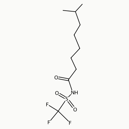 CC(C)CCCCCC(=O)NS(=O)(=O)C(F)(F)F